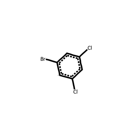 Clc1[c]c(Br)cc(Cl)c1